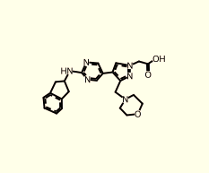 O=C(O)Cn1cc(-c2cnc(NC3Cc4ccccc4C3)nc2)c(CN2CCOCC2)n1